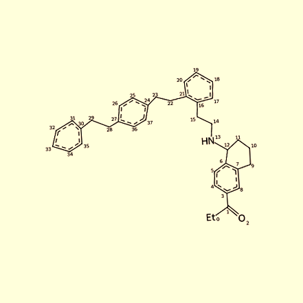 CCC(=O)c1ccc2c(c1)CCCC2NCCc1ccccc1CCc1ccc(CCc2ccccc2)cc1